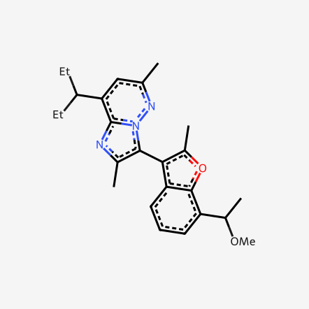 CCC(CC)c1cc(C)nn2c(-c3c(C)oc4c(C(C)OC)cccc34)c(C)nc12